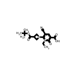 CCn1c(N2CC(C(=O)OC(C)(C)C)C2)c(C#N)cc(C(=O)O)c1=O